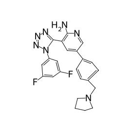 Nc1ncc(-c2ccc(CN3CCCC3)cc2)cc1-c1nnnn1-c1cc(F)cc(F)c1